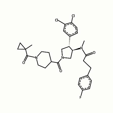 CN(C(=O)CCc1ccc(F)cc1)[C@H]1CN(C(=O)C2CCN(C(=O)C3(C)CC3)CC2)C[C@@H]1c1ccc(Cl)c(Cl)c1